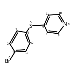 Brc1ccc(Sc2ccncc2)cc1